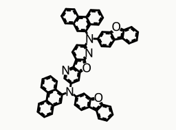 c1ccc2c(c1)cc(N(c1ccc3c(c1)oc1ccccc13)c1cnc3c(c1)oc1nc(N(c4ccc5c(c4)oc4ccccc45)c4cc5ccccc5c5ccccc45)ccc13)c1ccccc12